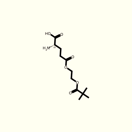 CC(C)(C)C(=O)OCCOC(=O)CC[C@H](N)C(=O)O